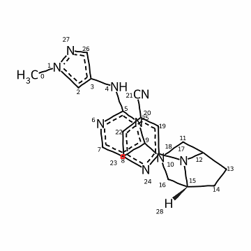 Cn1cc(Nc2nccc(N3CC4CC[C@H](C3)N4c3cc(C#N)ccn3)n2)cn1